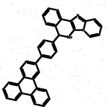 c1ccc2c(c1)-c1nc3ccccn3c1NC2c1ccc(-c2ccc3c4ccccc4c4ccccc4c3c2)cc1